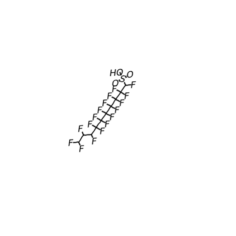 O=S(=O)(O)C(F)C(F)(F)C(F)(F)C(F)(F)C(F)(F)C(F)(F)C(F)(F)C(F)C(F)C(F)F